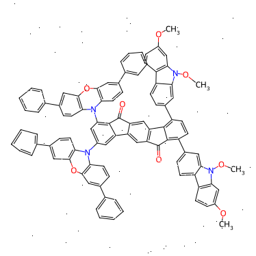 COc1ccc2c3ccc(-c4ccc(-c5ccc6c7ccc(OC)cc7n(OC)c6c5)c5c4c(=O)c4cc6c(cc45)c(=O)c4c(N5c7ccc(-c8ccccc8)cc7Oc7cc(-c8ccccc8)ccc75)cc(N5c7ccc(-c8ccccc8)cc7Oc7cc(-c8ccccc8)ccc75)cc46)cc3n(OC)c2c1